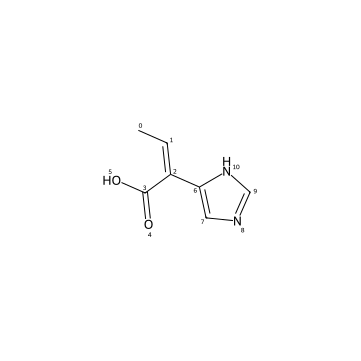 CC=C(C(=O)O)c1cnc[nH]1